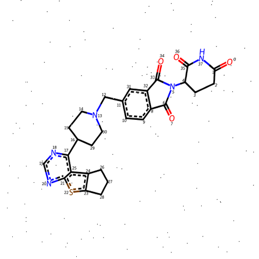 O=C1CCC(N2C(=O)c3ccc(CN4CCC(c5ncnc6sc7c(c56)CCC7)CC4)cc3C2=O)C(=O)N1